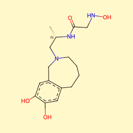 C[C@@H](CN1CCCCc2cc(O)c(O)cc2C1)NC(=O)CNO